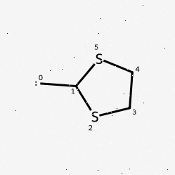 [CH]C1SCCS1